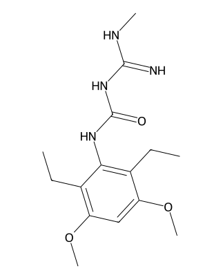 CCc1c(OC)cc(OC)c(CC)c1NC(=O)NC(=N)NC